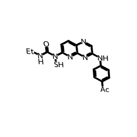 CCNC(=O)N(S)c1ccc2ncc(Nc3ccc(C(C)=O)cc3)nc2n1